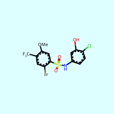 COc1cc(S(=O)(=O)Nc2ccc(Cl)c(O)c2)c(Br)cc1C(F)(F)F